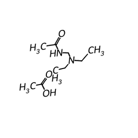 CC(=O)O.CCN(CC)CNC(C)=O